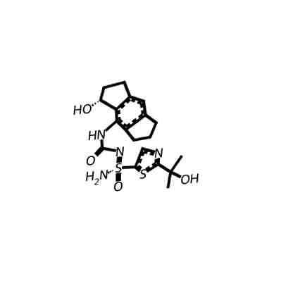 CC(C)(O)c1ncc([S@@](N)(=O)=NC(=O)Nc2c3c(cc4c2[C@H](O)CC4)CCC3)s1